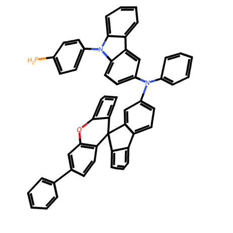 Pc1ccc(-n2c3ccccc3c3cc(N(c4ccccc4)c4ccc5c(c4)C4(c6ccccc6Oc6cc(-c7ccccc7)ccc64)c4ccccc4-5)ccc32)cc1